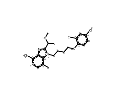 COC(C)c1nc2c(N)ncc(C)c2n1CCCCSc1ccc(Cl)cc1Cl